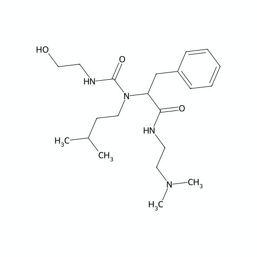 CC(C)CCN(C(=O)NCCO)C(Cc1ccccc1)C(=O)NCCN(C)C